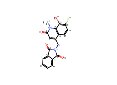 Cn1c(=O)cc(CN2C(=O)c3ccccc3C2=O)c2ccc(F)c(Br)c21